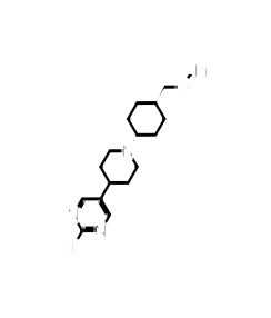 CCc1ncc(C2CCN([C@H]3CC[C@H](COC(C)C)CC3)CC2)cn1